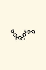 O=C(c1ccc(C(=O)N2CCN(c3ccccc3)CC2)cn1)c1ccc(C(=O)N2CCN(c3ccccc3)CC2)cn1